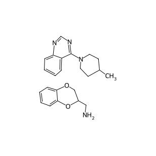 CC1CCN(c2ncnc3ccccc23)CC1.NCC1COc2ccccc2O1